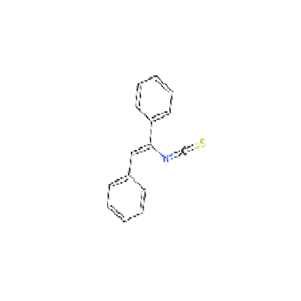 S=C=NC(=Cc1ccccc1)c1ccccc1